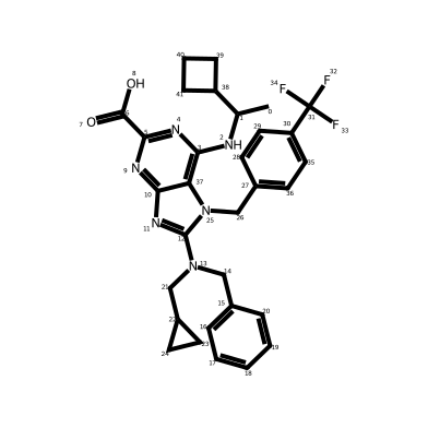 CC(Nc1nc(C(=O)O)nc2nc(N(Cc3ccccc3)CC3CC3)n(Cc3ccc(C(F)(F)F)cc3)c12)C1CCC1